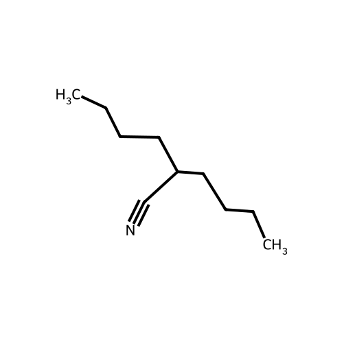 CCCCC(C#N)CCCC